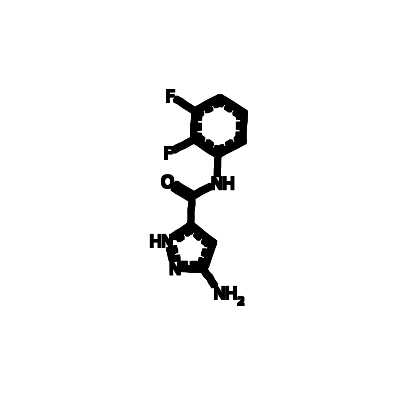 Nc1cc(C(=O)Nc2cccc(F)c2F)[nH]n1